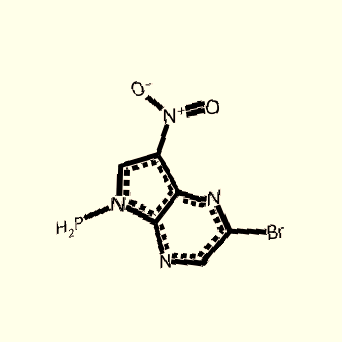 O=[N+]([O-])c1cn(P)c2ncc(Br)nc12